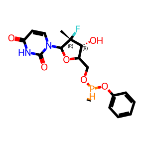 C=[PH](OCC1OC(n2ccc(=O)[nH]c2=O)[C@](C)(F)[C@@H]1O)Oc1ccccc1